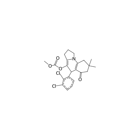 COC(=O)OC1=C2CCCN2C2=C(C(=O)CC(C)(C)C2)C1c1cccc(Cl)c1Cl